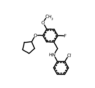 COc1cc(F)c(CNc2ccccc2Cl)cc1OC1CCCC1